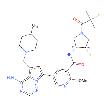 COc1ncc(-c2cc(CN3CCC(C(F)(F)F)CC3)c3c(N)ncnn23)cc1C(=O)N[C@@H]1CN(C(=O)C(C)(C)F)C[C@@H]1F